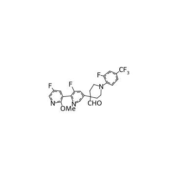 COc1ncc(F)cc1-c1ncc(C2(C=O)CCN(c3ccc(C(F)(F)F)cc3F)CC2)cc1F